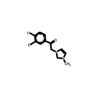 CN1C=CN(CC(=O)c2ccc(Cl)c(Cl)c2)C1